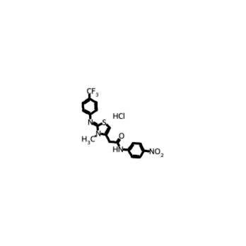 Cl.Cn1c(CC(=O)Nc2ccc([N+](=O)[O-])cc2)csc1=Nc1ccc(C(F)(F)F)cc1